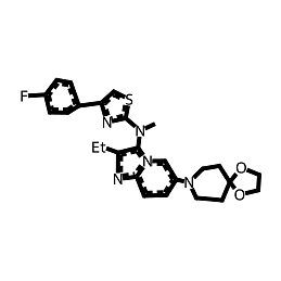 CCc1nc2ccc(N3CCC4(CC3)OCCO4)cn2c1N(C)c1nc(-c2ccc(F)cc2)cs1